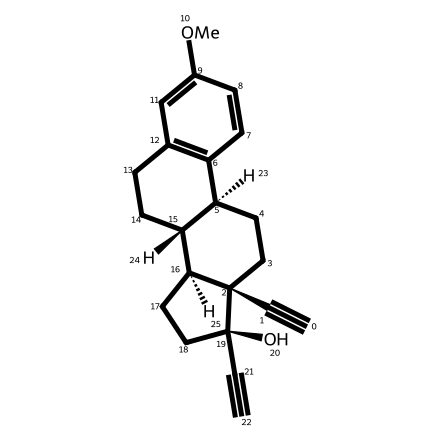 C#C[C@]12CC[C@@H]3c4ccc(OC)cc4CC[C@H]3[C@@H]1CC[C@@]2(O)C#C